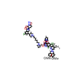 COc1ccc(CN(Cc2ccc(OC)cc2)c2cc(C)c(C(F)(F)F)c(-c3c(Cl)cc4c(N5CC6CCC(C5)N6C(=O)OC(C)(C)C)nc(OC[C@@H]5CCCN5CCCCCCCN5CCC(c6cc(F)cc7c6CN(C6CCC(=O)NC6=O)C7=O)CC5)nc4c3F)n2)cc1